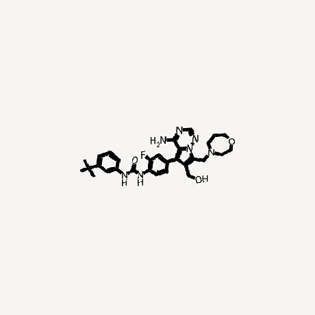 CC(C)(C)c1cccc(NC(=O)Nc2ccc(-c3c(CO)c(CN4CCCOCC4)n4ncnc(N)c34)cc2F)c1